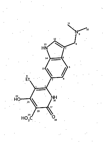 CCc1c(-c2ccc3c(CN(C)C)c[nH]c3c2)[nH]c(=O)c(C(=O)O)c1O